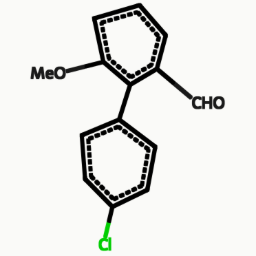 COc1cccc(C=O)c1-c1ccc(Cl)cc1